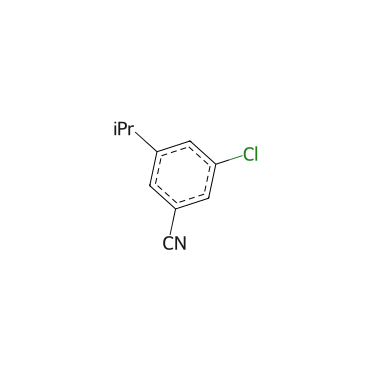 [CH2]C(C)c1cc(Cl)cc(C#N)c1